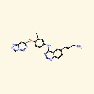 Cc1cc(Nc2ncnc3ccc(/C=C/CN)cc23)ccc1Oc1cc2nncn2cn1